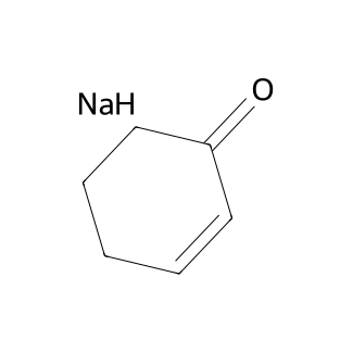 O=C1C=CCCC1.[NaH]